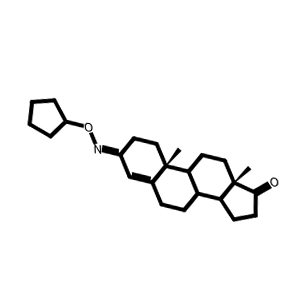 C[C@]12CCC(=NOC3CCCC3)C=C1CCC1C2CC[C@]2(C)C(=O)CCC12